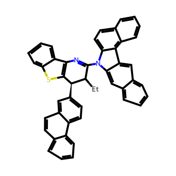 CCC1C(n2c3cc4ccccc4cc3c3c4ccccc4ccc32)=Nc2c(sc3ccccc23)[C@@H]1c1ccc2c(ccc3ccccc32)c1